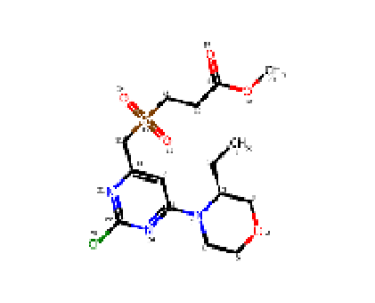 CC[C@H]1COCCN1c1cc(CS(=O)(=O)CCC(=O)OC)nc(Cl)n1